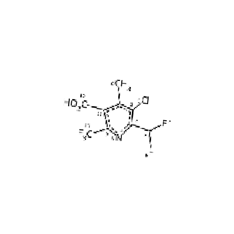 Cc1c(Cl)c(C(F)F)nc(C(F)(F)F)c1C(=O)O